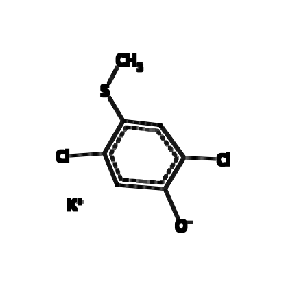 CSc1cc(Cl)c([O-])cc1Cl.[K+]